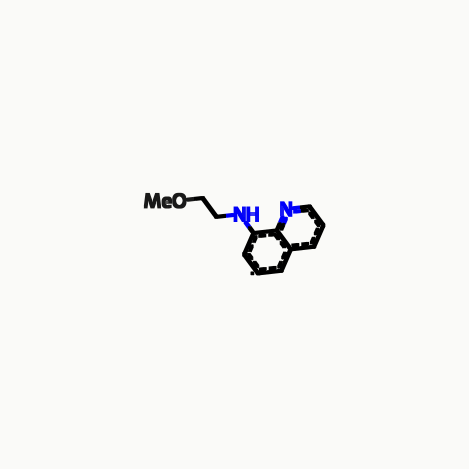 COCCNc1c[c]cc2cccnc12